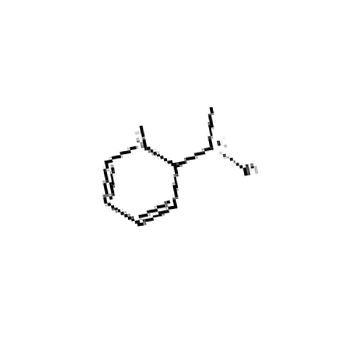 CC(C)[C@@H](C)C1C=CC=CN1